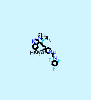 COc1ccc2ncc(N(C)C)c([C@H](F)CCC3(CC(=O)O)CCN(CCNc4c(F)cc(F)cc4F)CC3)c2c1